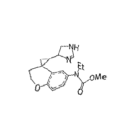 CCN(C(=O)OC)c1ccc2c(c1)C1(CCO2)CC1C1CNC=N1